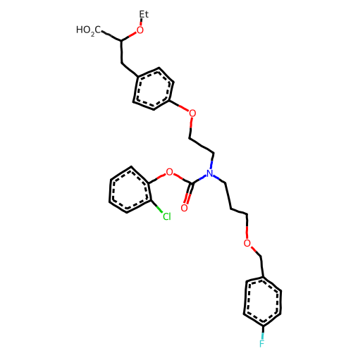 CCOC(Cc1ccc(OCCN(CCCOCc2ccc(F)cc2)C(=O)Oc2ccccc2Cl)cc1)C(=O)O